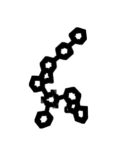 c1ccc(-c2ccc(-c3ccc4c(c3)sc3c(-c5nc(-c6ccccc6)nc(-c6cccc7c6oc6ccccc67)n5)cccc34)cc2)cc1